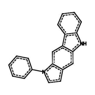 c1ccc(-n2ccc3cc4[nH]c5ccccc5c4cc32)cc1